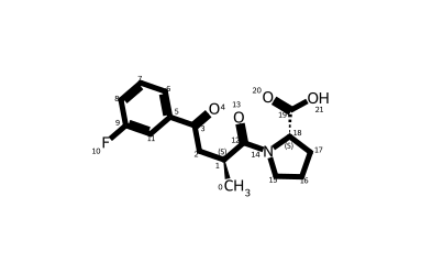 C[C@@H](CC(=O)c1cccc(F)c1)C(=O)N1CCC[C@H]1C(=O)O